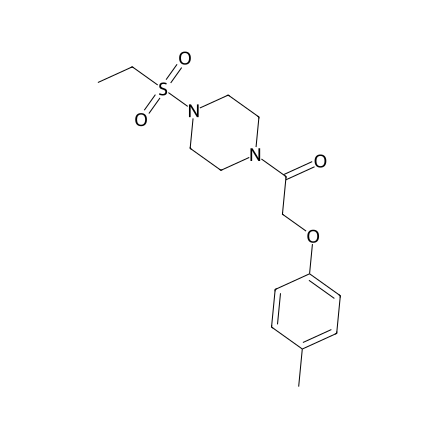 CCS(=O)(=O)N1CCN(C(=O)COc2ccc(C)cc2)CC1